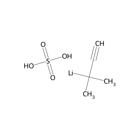 O=S(=O)(O)O.[Li][C](C)(C)C#C